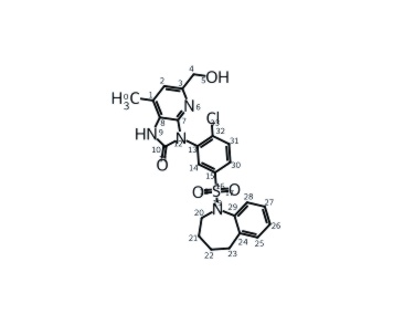 Cc1cc(CO)nc2c1[nH]c(=O)n2-c1cc(S(=O)(=O)N2CCCCc3ccccc32)ccc1Cl